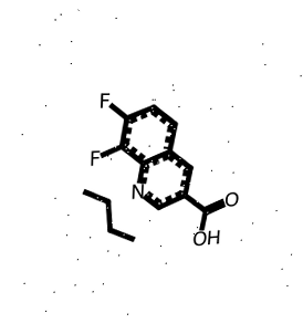 CCCC.O=C(O)c1cnc2c(F)c(F)ccc2c1